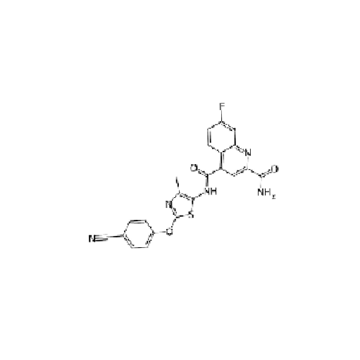 Cc1nc(Oc2ccc(C#N)cc2)sc1NC(=O)c1cc(C(N)=O)nc2cc(F)ccc12